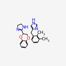 Cc1cccc(Cc2c[nH]cn2)c1C.c1ccc2c(c1)OCC(C1=NCCN1)O2